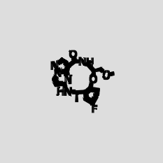 COC[C@@H]1CNC(=O)c2cnn3ccc(nc23)N[C@H](C)c2cc(F)ccc2O1